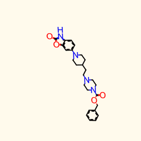 O=C(OCc1ccccc1)N1CCN(CCC2CCN(c3ccc4[nH]c(=O)oc4c3)CC2)CC1